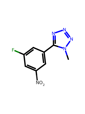 Cn1nnnc1-c1cc(F)cc([N+](=O)[O-])c1